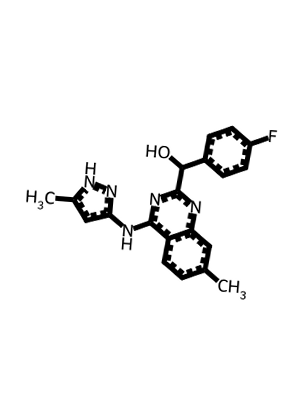 Cc1ccc2c(Nc3cc(C)[nH]n3)nc(C(O)c3ccc(F)cc3)nc2c1